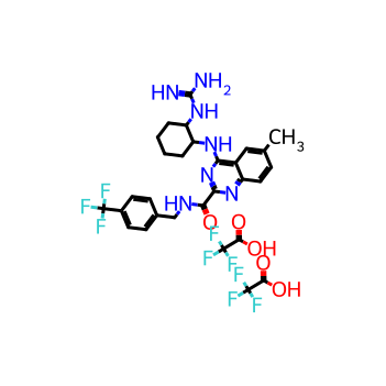 Cc1ccc2nc(C(=O)NCc3ccc(C(F)(F)F)cc3)nc(NC3CCCCC3NC(=N)N)c2c1.O=C(O)C(F)(F)F.O=C(O)C(F)(F)F